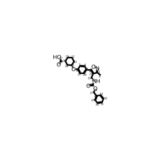 Cc1noc(-c2ccc(O[C@@H]3CCC[C@@H](C(=O)O)C3)cc2)c1CNC(=O)OCc1ccccc1